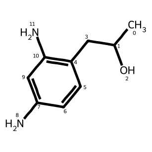 CC(O)Cc1ccc(N)cc1N